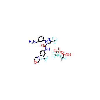 NCc1cccc(-n2nc(C(F)(F)F)cc2C(=O)Nc2ccc(N3CCOCC3)c(C(F)(F)F)c2)c1.O=C(O)C(F)(F)F.O=C(O)C(F)(F)F